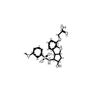 COc1cccc(S(=O)(=O)NC2C(O)CC3Oc4c(OCC(=O)O)cccc4C32)c1